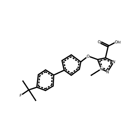 Cn1nnc(C(=O)O)c1Oc1ccc(-c2ccc(C(C)(C)F)cc2)cc1